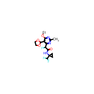 CCOc1nc(C)nc(C(F)C(=O)NC2(C(F)F)CC2)c1C1OCCO1